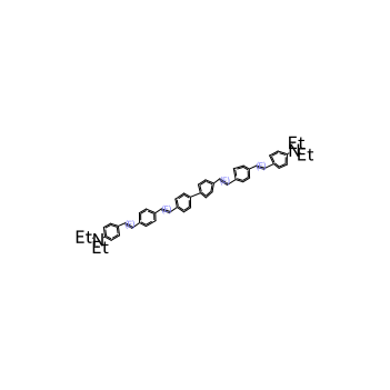 CCN(CC)c1ccc(/C=C/c2ccc(/C=C/c3ccc(-c4ccc(/C=C/c5ccc(/C=C/c6ccc(N(CC)CC)cc6)cc5)cc4)cc3)cc2)cc1